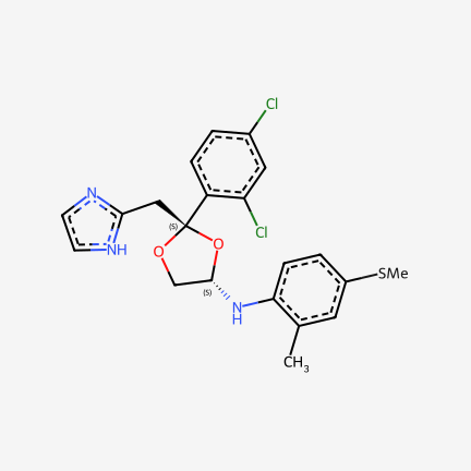 CSc1ccc(N[C@@H]2CO[C@](Cc3ncc[nH]3)(c3ccc(Cl)cc3Cl)O2)c(C)c1